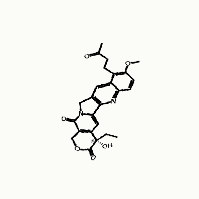 CC[C@@]1(O)C(=O)OCc2c1cc1n(c2=O)Cc2cc3c(CCC(C)=O)c(OC)ccc3nc2-1